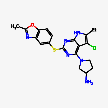 CCc1[nH]c2nc(Sc3ccc4oc(C)nc4c3)nc(N3CC[C@@H](N)C3)c2c1Cl